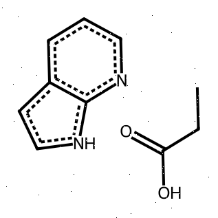 CCC(=O)O.c1cnc2[nH]ccc2c1